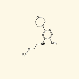 COCCNc1cc(N2CCOCC2)ncc1N